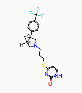 O=c1nc(SCCCN2C[C@@H]3C[C@]3(c3ccc(C(F)(F)F)cc3)C2)cc[nH]1